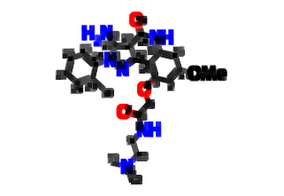 COc1cc(OCC(=O)NCCN(C)C)c2c(c1)[nH]c(=O)c1c(N)n(-c3ccccc3C)nc12